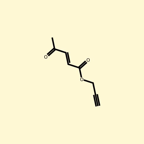 C#CCOC(=O)/C=C/C(C)=O